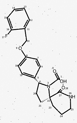 O=C(O)N1[C@@H](c2ccc(OCc3ccccc3F)cc2)CC[C@]12CCCNC2=O